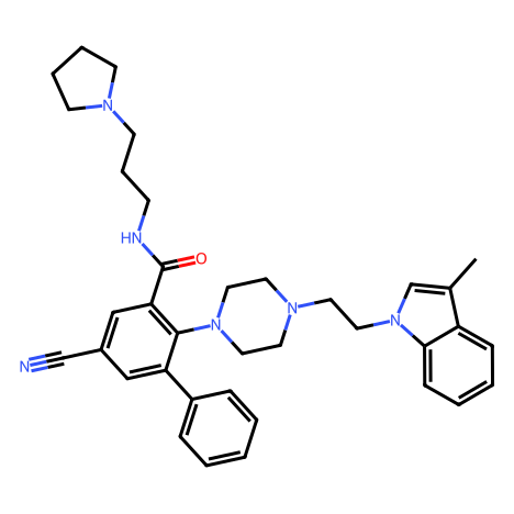 Cc1cn(CCN2CCN(c3c(C(=O)NCCCN4CCCC4)cc(C#N)cc3-c3ccccc3)CC2)c2ccccc12